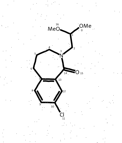 COC(CN1CCCc2ccc(Cl)cc2C1=O)OC